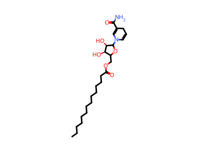 CCCCCCCCCCCCCC(=O)OCC1OC(N2C=CCC(C(N)=O)=C2)[C@H](O)[C@@H]1O